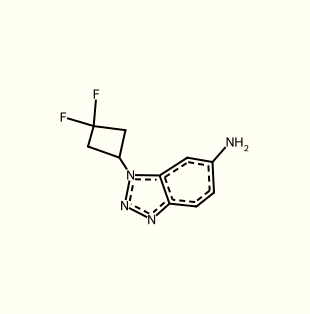 Nc1ccc2nnn(C3CC(F)(F)C3)c2c1